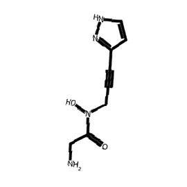 NCC(=O)N(O)CC#Cc1cc[nH]n1